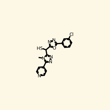 Cn1c(-c2ccncc2)nnc1C(S)c1nnc(-c2cccc(Cl)c2)o1